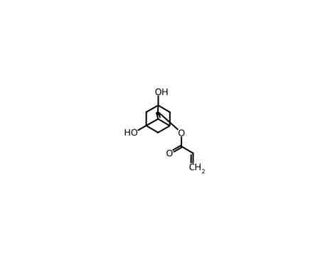 C=CC(=O)OC1=C2C3CC(O)(C1)CC2(O)C3